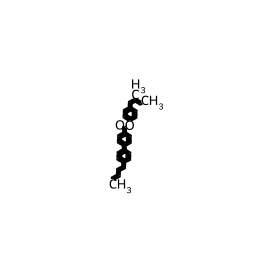 CCCCCC1=C=C=C(c2ccc(C(=O)Oc3ccc(CC(C)CC)cc3)cc2)C=C1